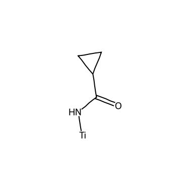 O=C([NH][Ti])C1CC1